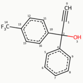 C#CC(O)(c1ccccc1)c1ccc(C(F)(F)F)cc1